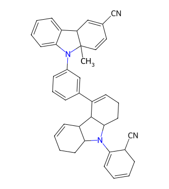 CC12C=CC(C#N)=CC1c1ccccc1N2c1cccc(C2=CCCC3C2C2C=CCCC2N3C2=CC=CCC2C#N)c1